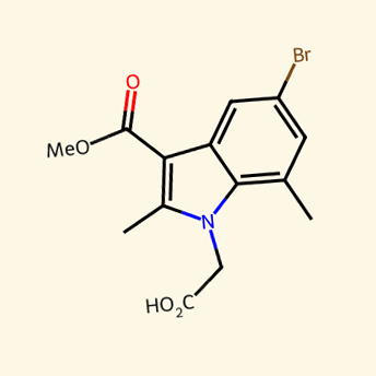 COC(=O)c1c(C)n(CC(=O)O)c2c(C)cc(Br)cc12